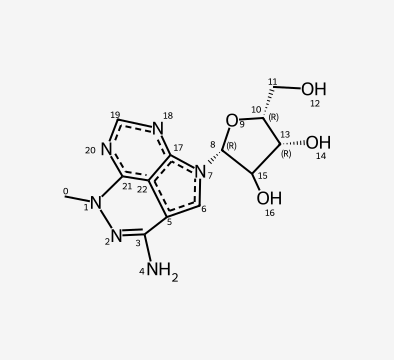 CN1N=C(N)c2cn([C@@H]3O[C@H](CO)[C@H](O)C3O)c3ncnc1c23